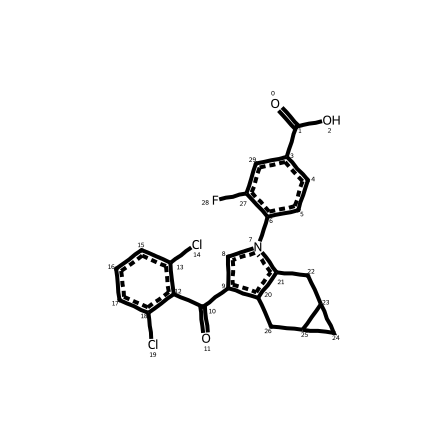 O=C(O)c1ccc(-n2cc(C(=O)c3c(Cl)cccc3Cl)c3c2CC2CC2C3)c(F)c1